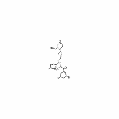 CN(C[C@@H](CCN1CC(N2CCNCC2CO)C1)c1ccc(F)cc1)C(=O)c1cc(Br)cc(Br)c1